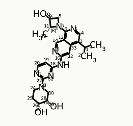 CC(C)c1cnc(N2C[C@H](O)[C@H]2C)c2cnc(Nc3ccnc(N4CC[C@@H](O)[C@@H](O)C4)n3)cc12